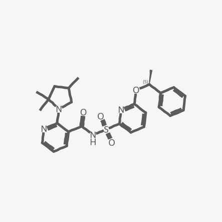 CC1CN(c2ncccc2C(=O)NS(=O)(=O)c2cccc(O[C@@H](C)c3ccccc3)n2)C(C)(C)C1